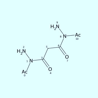 CC(=O)N(N)C(=O)CC(=O)N(N)C(C)=O